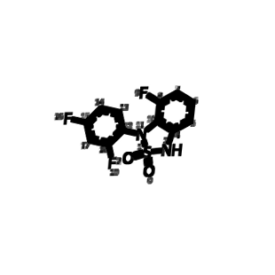 O=S1(=O)Nc2cccc(F)c2N1c1ccc(F)cc1F